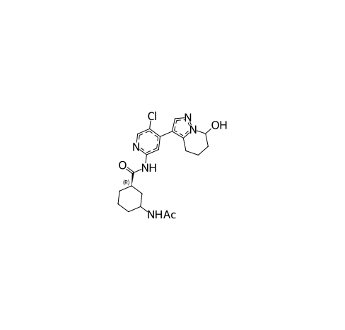 CC(=O)NC1CCC[C@@H](C(=O)Nc2cc(-c3cnn4c3CCCC4O)c(Cl)cn2)C1